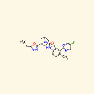 CCc1nnc(C23CC(C)CC(C2)N3C(=O)Nc2ccc(C)c(-c3ncc(F)cn3)c2)o1